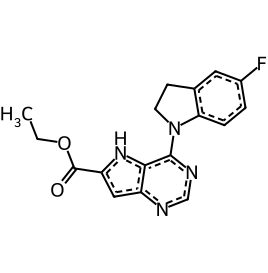 CCOC(=O)c1cc2ncnc(N3CCc4cc(F)ccc43)c2[nH]1